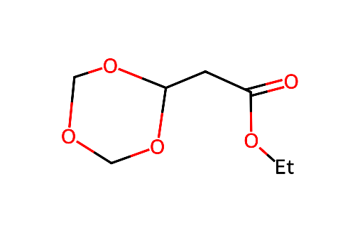 CCOC(=O)CC1OCOCO1